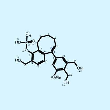 COc1cc(/C2=C/CCCCc3c2ccc(CO)c3OP(=O)(O)O)cc(CO)c1CO